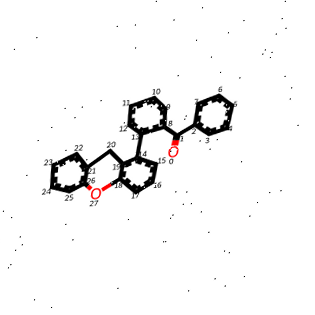 O=C(c1ccccc1)c1ccccc1-c1cccc2c1Cc1ccccc1O2